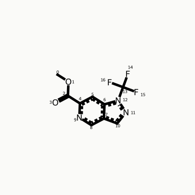 COC(=O)c1cc2c(cn1)cnn2C(F)(F)F